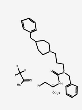 CC(C)C[C@H](NC(=O)N(CCCN1CCC(Cc2ccccc2)CC1)Cc1ccccc1)C(=O)O.O=C(O)C(F)(F)F